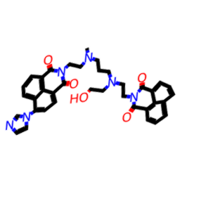 CN(CCCN(CCO)CCN1C(=O)c2cccc3cccc(c23)C1=O)CCN1C(=O)c2cccc3c(-n4ccnc4)ccc(c23)C1=O